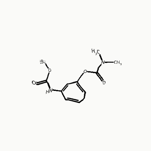 CN(C)C(=O)Oc1cccc(NC(=O)OC(C)(C)C)c1